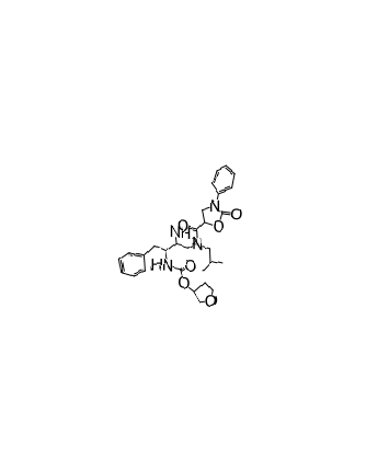 CC(C)CN(CC(N)C(Cc1ccccc1)NC(=O)OC1CCOC1)C(=O)C1CN(c2ccccc2)C(=O)O1